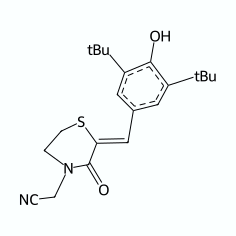 CC(C)(C)c1cc(C=C2SCCN(CC#N)C2=O)cc(C(C)(C)C)c1O